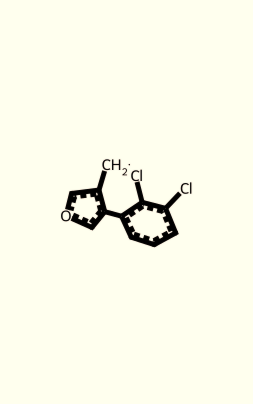 [CH2]c1cocc1-c1cccc(Cl)c1Cl